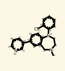 CN1CCN(c2ccccc2Cl)c2ccc(-c3cccnc3)cc2C1